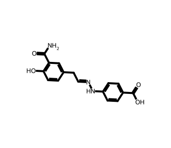 NC(=O)c1cc(CC=NNc2ccc(C(=O)O)cc2)ccc1O